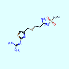 CNS(=O)(=O)/N=C(\N)CCSCc1csc(N=C(N)N)n1